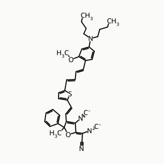 [C-]#[N+]C1=C(/C=C/c2ccc(/C=C/C=C/c3ccc(N(CCCC)CCCC)cc3OC)s2)C(C)(c2ccccc2)O/C1=C(\C#N)[N+]#[C-]